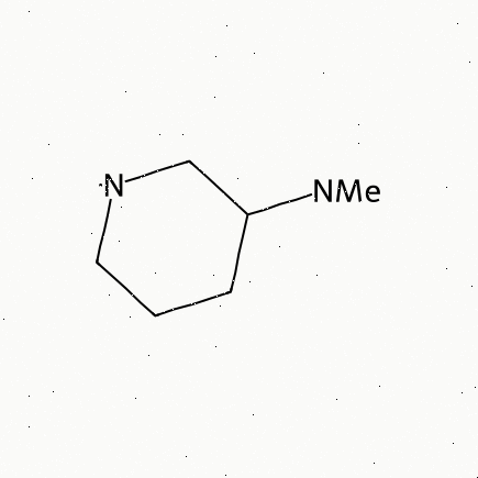 CNC1CCC[N]C1